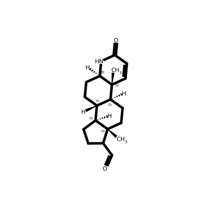 C[C@]12C=CC(=O)N[C@@H]1CC[C@@H]1[C@@H]2CC[C@]2(C)C(C=O)CC[C@@H]12